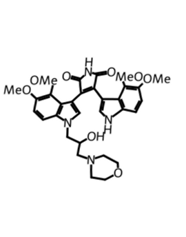 COc1ccc2[nH]cc(C3=C(c4cn(CC(O)CN5CCOCC5)c5ccc(OC)c(OC)c45)C(=O)NC3=O)c2c1OC